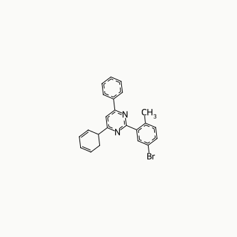 Cc1ccc(Br)cc1-c1nc(-c2ccccc2)cc(C2C=CC=CC2)n1